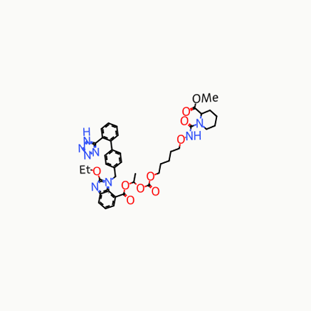 CCOc1nc2cccc(C(=O)OC(C)OC(=O)OCCCCCONC(=O)N3CCCCC3C(=O)OC)c2n1Cc1ccc(-c2ccccc2-c2nnn[nH]2)cc1